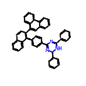 c1ccc(C2=NC(c3ccc(-c4c(-c5cc6ccccc6c6ccccc56)ccc5ccccc45)cc3)=NC(c3ccccc3)N2)cc1